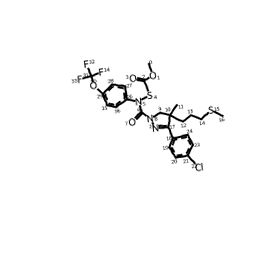 COC(=O)SN(C(=O)N1CC(C)(CCCSC)C(c2ccc(Cl)cc2)=N1)c1ccc(OC(F)(F)F)cc1